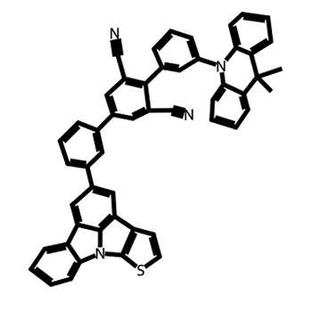 CC1(C)c2ccccc2N(c2cccc(-c3c(C#N)cc(-c4cccc(-c5cc6c7ccccc7n7c8sccc8c(c5)c67)c4)cc3C#N)c2)c2ccccc21